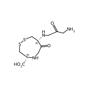 NCC(=O)CN[C@H]1CSSC[C@@H](C(=O)O)NCC1=O